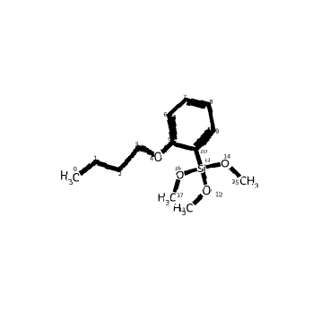 CCCCOc1ccccc1[Si](OC)(OC)OC